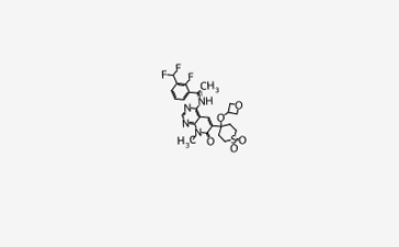 C[C@@H](Nc1ncnc2c1cc(C1(OC3COC3)CCS(=O)(=O)CC1)c(=O)n2C)c1cccc(C(F)F)c1F